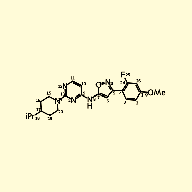 COc1ccc(-c2cc(Nc3ccnc(N4CCC(C(C)C)CC4)n3)on2)c(F)c1